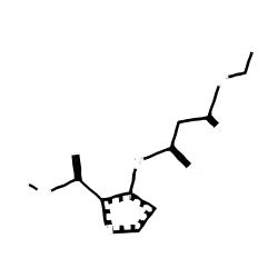 CCOC(=O)CC(=O)Nc1ccsc1C(=O)OC